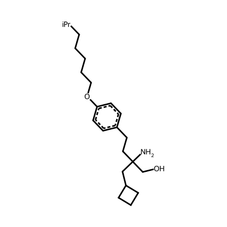 CC(C)CCCCCOc1ccc(CCC(N)(CO)CC2CCC2)cc1